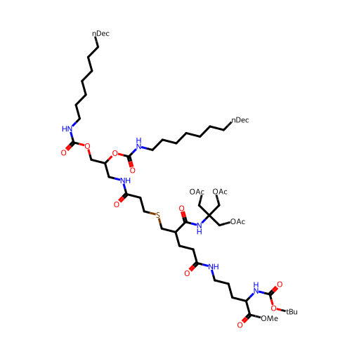 CCCCCCCCCCCCCCCCCNC(=O)OCC(CNC(=O)CCSCC(CCC(=O)NCCCC(NC(=O)OC(C)(C)C)C(=O)OC)C(=O)NC(COC(C)=O)(COC(C)=O)COC(C)=O)OC(=O)NCCCCCCCCCCCCCCCCC